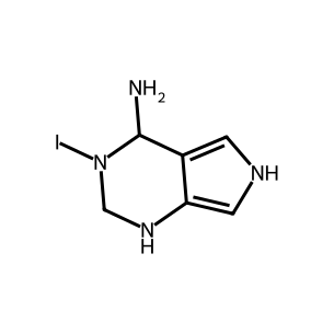 NC1c2c[nH]cc2NCN1I